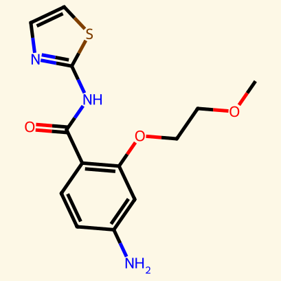 COCCOc1cc(N)ccc1C(=O)Nc1nccs1